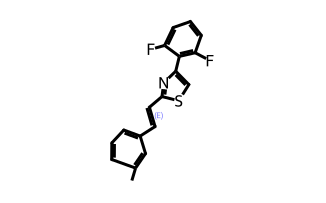 Cc1cccc(/C=C/c2nc(-c3c(F)cccc3F)cs2)c1